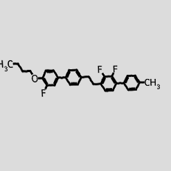 CCCCOc1ccc(-c2ccc(CCc3ccc(-c4ccc(C)cc4)c(F)c3F)cc2)cc1F